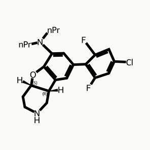 CCCN(CCC)c1cc(-c2c(F)cc(Cl)cc2F)cc2c1O[C@H]1CCNC[C@@H]21